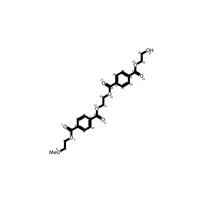 COCCOC(=O)c1ccc(C(=O)OCCOC(=O)c2ccc(C(=O)OCCO)cc2)cc1